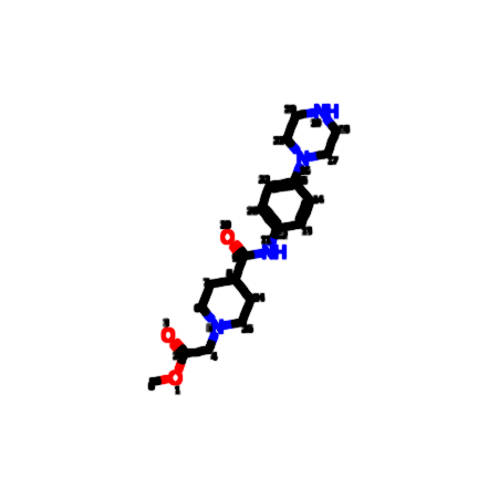 COC(=O)CN1CCC(C(=O)Nc2ccc(N3CCNCC3)cc2)CC1